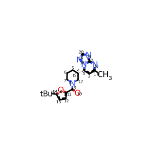 Cc1cc([C@H]2CCCN(C(=O)c3ccc(C(C)(C)C)o3)C2)n2ncnc2n1